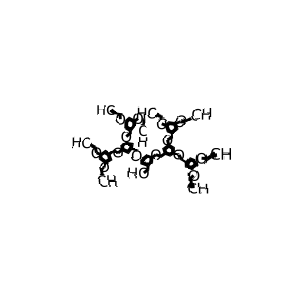 C#CCOc1cc(COc2cc(COc3cc(CO)cc(OCc4cc(OCc5cc(OCC#C)cc(OCC#C)c5)cc(OCc5cc(OCC#C)cc(OCC#C)c5)c4)c3)cc(OCc3cc(OCC#C)cc(OCC#C)c3)c2)cc(OCC#C)c1